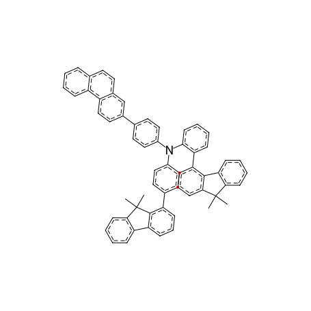 CC1(C)c2ccccc2-c2c(-c3ccccc3N(c3ccc(-c4ccc5c(ccc6ccccc65)c4)cc3)c3ccc(-c4cccc5c4C(C)(C)c4ccccc4-5)cc3)cccc21